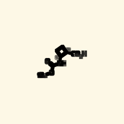 CC(C)(C)OC(=O)N[C@H]1CC[C@H]1C(=O)O